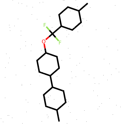 CC1CCC(C2CCC(OC(F)(F)C3CCC(C)CC3)CC2)CC1